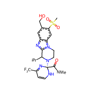 CNC(=O)[C@]1(N2CCn3c(nc4cc(CO)c(S(C)(=O)=O)cc43)C2C(C)C)N=C(C(F)(F)F)C=CN1